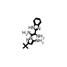 CC(C)(C)c1cc(N)n(/C(N)=C(\N)c2nc3ccccc3[nH]2)n1